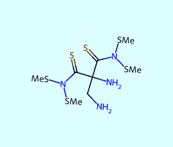 CSN(SC)C(=S)C(N)(CN)C(=S)N(SC)SC